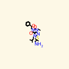 CCn1c(=O)n(CC(=O)c2ccccc2)c(=O)c2c1nc(SC(C)(C)CN)n2CC=C(C)C